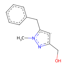 Cn1nc(CO)[c]c1Cc1ccccc1